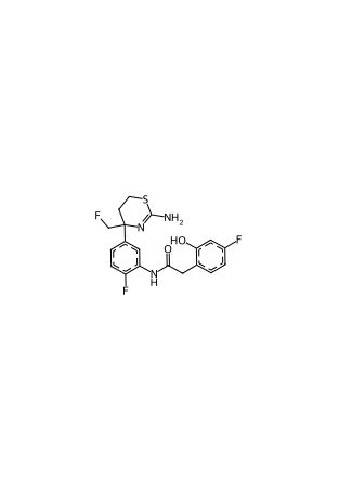 NC1=NC(CF)(c2ccc(F)c(NC(=O)Cc3ccc(F)cc3O)c2)CCS1